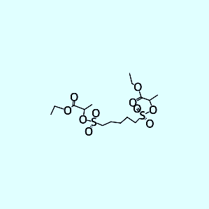 CCOC(=O)C(C)OS(=O)(=O)CCCCCS(=O)(=O)OC(C)C(=O)OCC